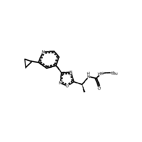 C[C@H](NC(=O)NC(C)(C)C)c1nc(-c2ccnc(C3CC3)c2)no1